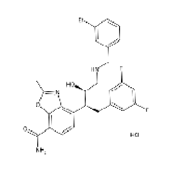 CCc1cccc(CNC[C@H](O)[C@@H](Cc2cc(F)cc(F)c2)c2ccc(C(N)=O)c3oc(C)nc23)c1.Cl